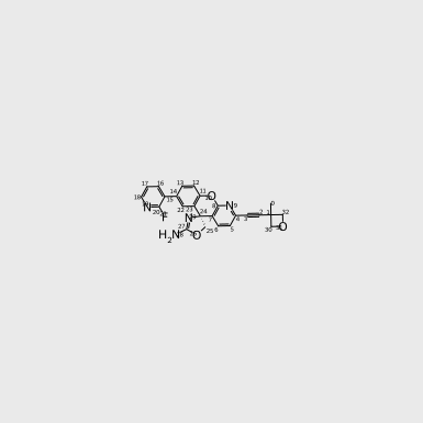 CC1(C#Cc2ccc3c(n2)Oc2ccc(-c4cccnc4F)cc2[C@@]32COC(N)=N2)COC1